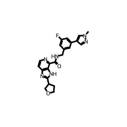 Cn1cc(-c2cc(F)cc(CNC(=O)c3nccc4nc(C5CCOC5)[nH]c34)c2)cn1